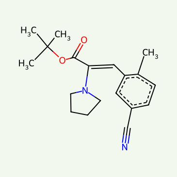 Cc1ccc(C#N)cc1C=C(C(=O)OC(C)(C)C)N1CCCC1